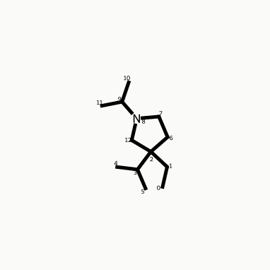 CCC1(C(C)C)CCN(C(C)C)C1